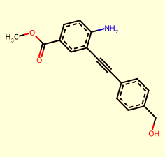 COC(=O)c1ccc(N)c(C#Cc2ccc(CO)cc2)c1